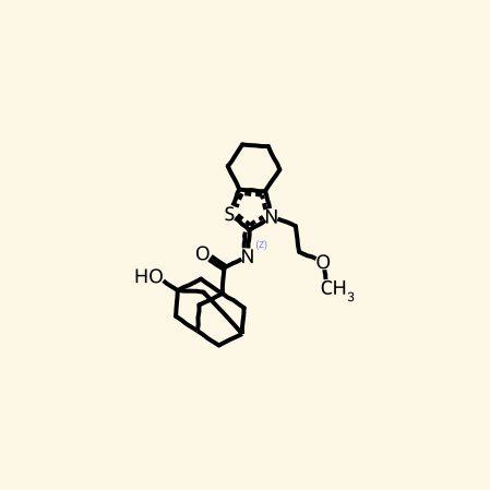 COCCn1c2c(s/c1=N\C(=O)C13CC4CC(CC(O)(C4)C1)C3)CCCC2